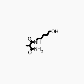 C[C](C(N)=O)C(=O)NCCCCCO